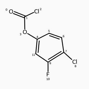 O=C(Cl)Oc1ccc(Cl)c(F)c1